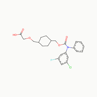 O=C(O)COCC1CCC(COC(=O)N(c2ccccc2)c2cc(F)cc(Cl)c2)CC1